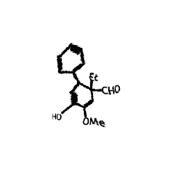 CCC1(C=O)C=C(OC)C(O)=CC1c1ccccc1